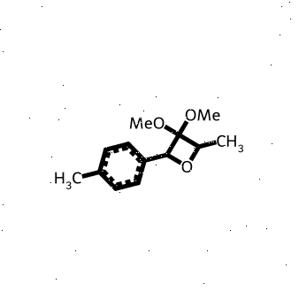 COC1(OC)C(C)OC1c1ccc(C)cc1